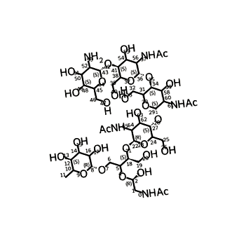 CC(=O)NC[C@H](O)OC(CO[C@@H]1OC(C)[C@@H](O)C(O)C1O)[C@H](CO)O[C@@H]1OC(CO)[C@@H](O[C@@H]2OC(CO)[C@@H](O[C@@H]3OC(CO)[C@@H](O[C@@H]4OC(CO)[C@@H](O)C(O)C4N)C(O)C3NC(C)=O)C(O)C2NC(C)=O)C(O)C1NC(C)=O